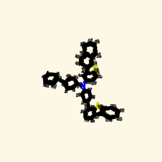 c1ccc(-c2ccc(N(c3ccc(-c4cccc5c4sc4ccccc45)cc3)c3ccc4sc5c6ccccc6ccc5c4c3)cc2)cc1